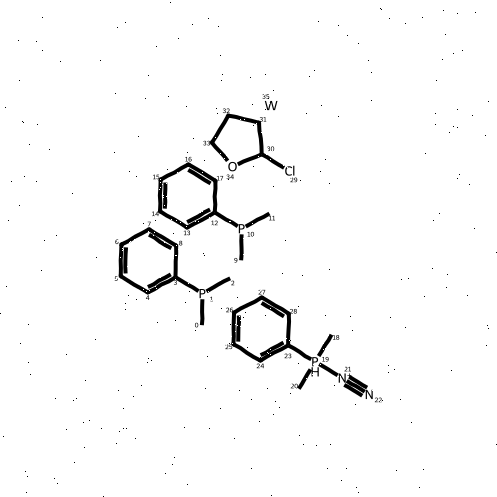 CP(C)c1ccccc1.CP(C)c1ccccc1.C[PH](C)([N+]#N)c1ccccc1.ClC1CCCO1.[W]